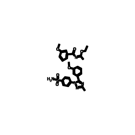 CCOC(C)=NC(=O)c1cccc(OC)c1.COc1cccc(-c2nc(C)nn2-c2ccc(S(N)(=O)=O)cc2)c1